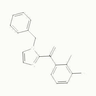 C=C(c1cccc(Br)c1C)c1nccn1Cc1ccccc1